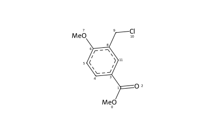 COC(=O)c1ccc(OC)c(CCl)c1